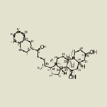 C[C@H](CCC(=O)N1CCc2ccccc2C1)[C@H]1CC[C@H]2[C@@H]3[C@H](O)C[C@@H]4C[C@H](O)CC[C@]4(C)[C@H]3CC[C@]12C